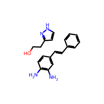 Nc1ccc(C=Cc2ccccc2)cc1N.OCCc1cc[nH]n1